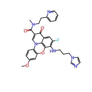 COc1ccc2c(c1)Oc1c(NCCCn3ccnc3)c(F)cc3c(=O)c(C(=O)N(C)CCc4ccccn4)cn-2c13